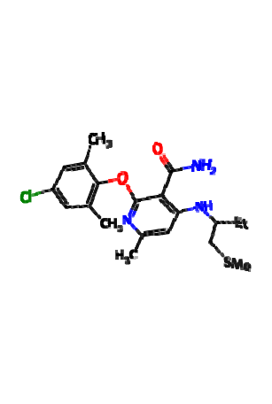 CCC(CSC)Nc1cc(C)nc(Oc2c(C)cc(Cl)cc2C)c1C(N)=O